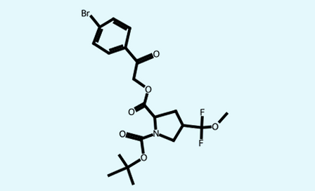 COC(F)(F)C1CC(C(=O)OCC(=O)c2ccc(Br)cc2)N(C(=O)OC(C)(C)C)C1